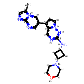 CCc1cnc2ncc(-c3ccn4nc(N[C@H]5C[C@@H](N6CCOCC6)C5)ncc34)cn12